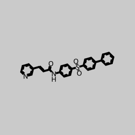 O=C(/C=C/c1cccnc1)Nc1ccc(S(=O)(=O)c2ccc(-c3ccccc3)cc2)cc1